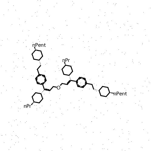 CCCCC[C@H]1CC[C@H](CCc2ccc(C(=CCOCC=C(c3ccc(CC[C@H]4CC[C@H](CCCCC)CC4)cc3)[C@H]3CC[C@H](CCC)CC3)[C@H]3CC[C@H](CCC)CC3)cc2)CC1